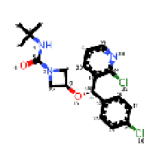 CC(C)(C)NC(=O)N1CC(O[C@@H](c2ccc(Cl)cc2)c2cccnc2Cl)C1